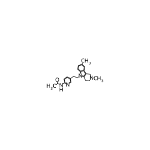 CC(=O)Nc1ccc(CCn2c3c(c4cc(C)ccc42)CN(C)CC3)cn1